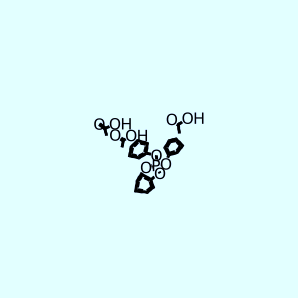 CC(=O)O.CC(=O)O.CC(=O)O.O=P(Oc1ccccc1)(Oc1ccccc1)Oc1ccccc1